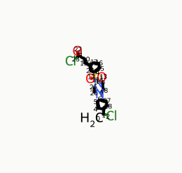 C=C(Cl)c1ccc(N2CCN(S(=O)(=O)c3cccc(C=CC(=O)Cl)c3)CC2)cc1